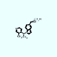 Cc1cnccc1N(C)n1ccc2cc(CNC(=O)O)ccc21